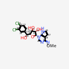 CON=c1ncn([C@@H]2O[C@H]([C@H](O)c3ccc(Cl)c(Cl)c3)[C@@](C)(O)[C@H]2O)c2[nH]ccc12